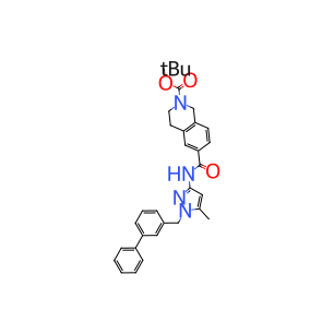 Cc1cc(NC(=O)c2ccc3c(c2)CCN(C(=O)OC(C)(C)C)C3)nn1Cc1cccc(-c2ccccc2)c1